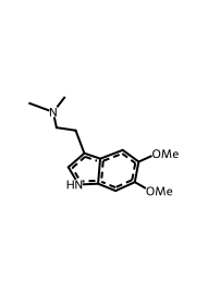 COc1cc2[nH]cc(CCN(C)C)c2cc1OC